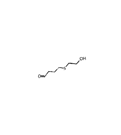 O=CCCCSCCO